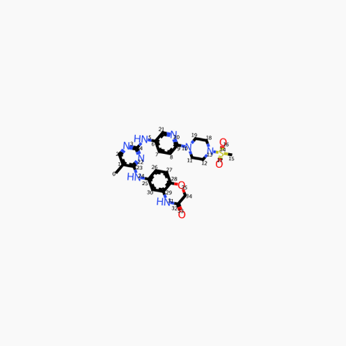 Cc1cnc(Nc2ccc(N3CCN(S(C)(=O)=O)CC3)nc2)nc1Nc1ccc2c(c1)NC(=O)CO2